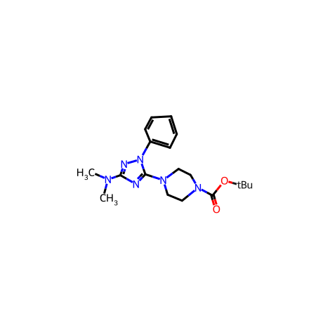 CN(C)c1nc(N2CCN(C(=O)OC(C)(C)C)CC2)n(-c2ccccc2)n1